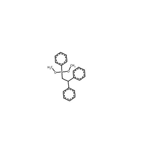 CO[Si](CC(c1ccccc1)c1ccccc1)(OC)c1ccccc1